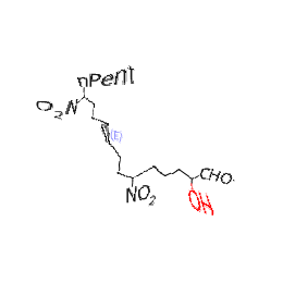 CCCCCC(CC/C=C/CCC(CCCC(O)[C]=O)[N+](=O)[O-])[N+](=O)[O-]